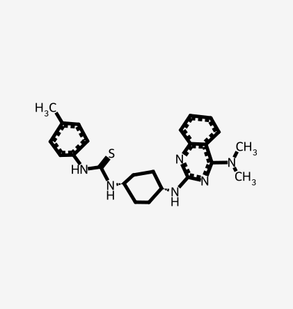 Cc1ccc(NC(=S)N[C@H]2CC[C@@H](Nc3nc(N(C)C)c4ccccc4n3)CC2)cc1